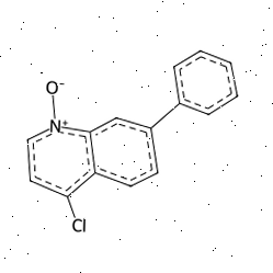 [O-][n+]1ccc(Cl)c2ccc(-c3ccccc3)cc21